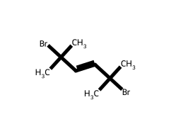 CC(C)(Br)C=CC(C)(C)Br